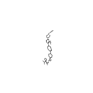 C=CCCC1CCC(c2ccc(C3CCC(C4CCC(OCCN(C)C(=O)C(=C)C)CC4)CC3)c(F)c2)CC1